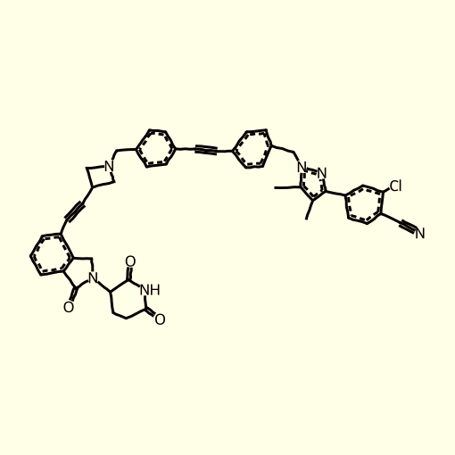 Cc1c(-c2ccc(C#N)c(Cl)c2)nn(Cc2ccc(C#Cc3ccc(CN4CC(C#Cc5cccc6c5CN(C5CCC(=O)NC5=O)C6=O)C4)cc3)cc2)c1C